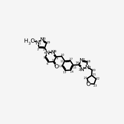 Cn1cc(-n2ccc(=O)c(Cc3cccc(-c4ncn(CC5CCOC5)n4)c3)n2)cn1